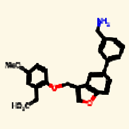 COc1ccc(OCc2coc3ccc(-c4cccc(CN)c4)cc23)c(CC(=O)O)c1